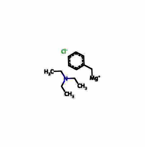 CCN(CC)CC.[Cl-].[Mg+][CH2]c1ccccc1